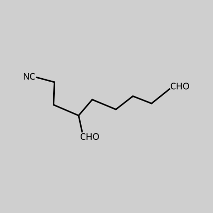 N#CCCC(C=O)CCCCC=O